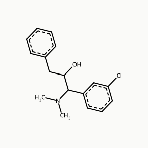 CN(C)C(c1cccc(Cl)c1)C(O)Cc1ccccc1